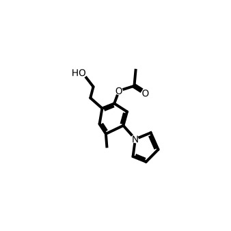 CC(=O)Oc1cc(-n2cccc2)c(C)cc1CCO